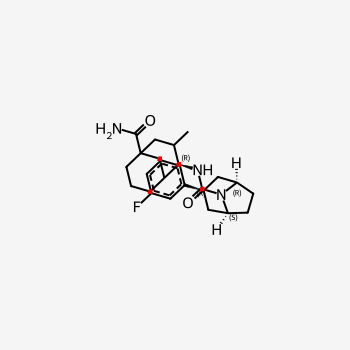 CC1CC2(C(N)=O)CCCC(C2)[C@@H]1NC(=O)N1[C@@H]2CC[C@H]1C[C@@H](c1cccc(F)c1)C2